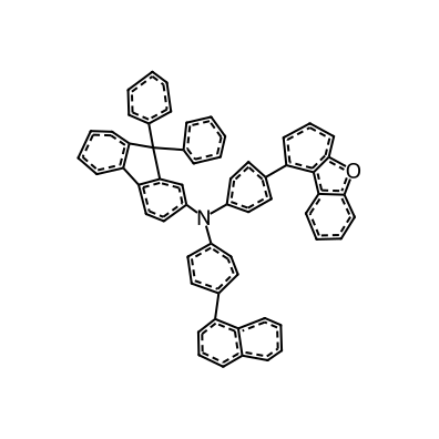 c1ccc(C2(c3ccccc3)c3ccccc3-c3ccc(N(c4ccc(-c5cccc6ccccc56)cc4)c4ccc(-c5cccc6oc7ccccc7c56)cc4)cc32)cc1